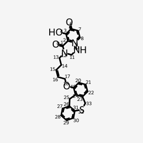 O=C1c2c(O)c(=O)ccn2NCN1CC/C=C\COc1cccc2c1Cc1ccccc1SC2